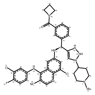 CC(C)(C)N1CCC(N2C=C([C@@H](Nc3cc(Cl)c4ncc(C#N)c(Nc5ccc(F)c(Cl)c5)c4c3)c3cccc(C(=O)N4CCC4)c3)NN2)CC1